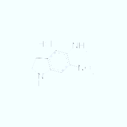 Cl.Nc1cc2c(cc1[N+](=O)[O-])NCC2